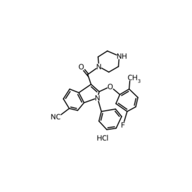 Cc1ccc(F)cc1Oc1c(C(=O)N2CCNCC2)c2ccc(C#N)cc2n1-c1ccccc1.Cl